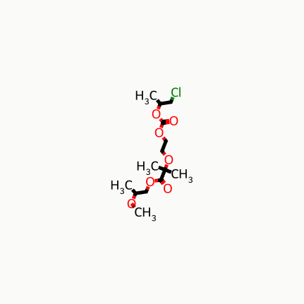 COC(C)COC(=O)C(C)(C)OCCOC(=O)OC(C)CCl